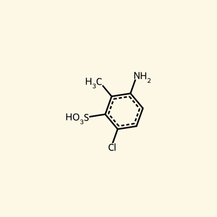 Cc1c(N)ccc(Cl)c1S(=O)(=O)O